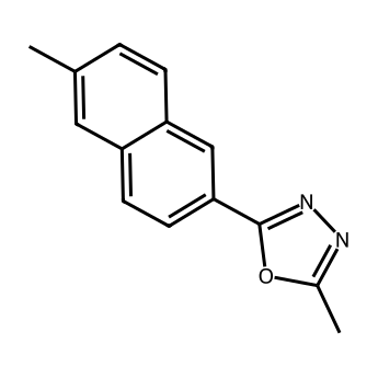 Cc1ccc2cc(-c3nnc(C)o3)ccc2c1